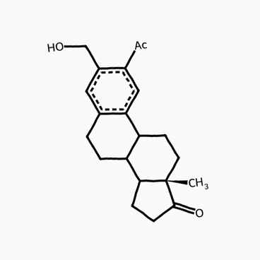 CC(=O)c1cc2c(cc1CO)CCC1C2CC[C@]2(C)C(=O)CCC12